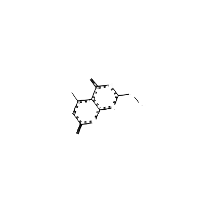 CCCOc1nc2oc(=O)cc(CC)c2c(=O)[nH]1